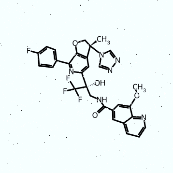 COc1cc(C(=O)NC[C@](O)(c2cc3c(c(-c4ccc(F)cc4)n2)OC[C@]3(C)n2cnnc2)C(F)(F)F)cc2cccnc12